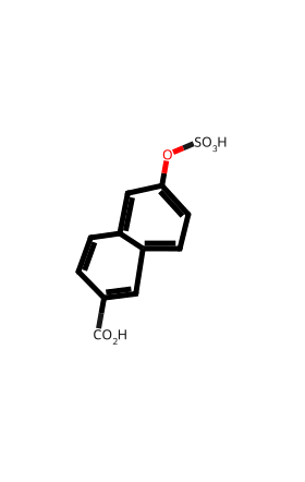 O=C(O)c1ccc2cc(OS(=O)(=O)O)ccc2c1